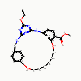 CCOc1nc2nc(n1)Nc1ccc(C(=O)OC)c(c1)OCCCCCCOc1ccc(cc1)CN2